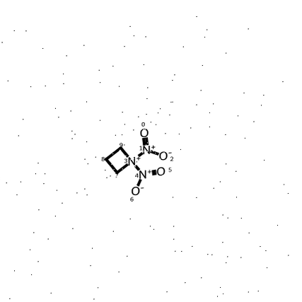 O=[N+]([O-])[N+]1([N+](=O)[O-])CCC1